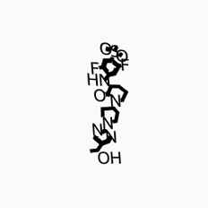 CC(O)c1cnc(N2CCC(N3CCC[C@H](Nc4cc(F)c(S(C)(=O)=O)cc4F)C3=O)CC2)nc1